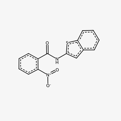 O=C(Nc1cc2ccccc2s1)c1ccccc1[N+](=O)[O-]